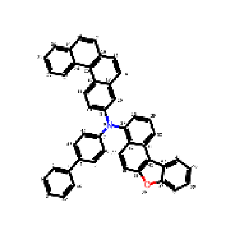 c1ccc(-c2ccc(N(c3ccc4c(ccc5ccc6ccccc6c54)c3)c3cccc4c3ccc3oc5ccccc5c34)cc2)cc1